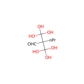 CCCC([C]=O)(C(O)(O)O)C(O)(O)O